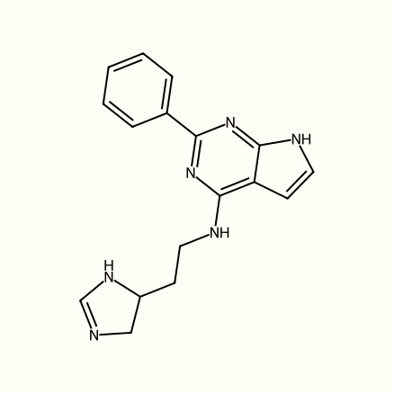 C1=NCC(CCNc2nc(-c3ccccc3)nc3[nH]ccc23)N1